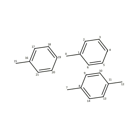 Cc1cc[c]cc1.Cc1ccc(C)cc1.Cc1ccccc1